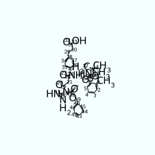 Cc1ccccc1S(=O)(=O)NC(C)(C)C.N=C(N)N(C(=O)CC(=O)Nc1ccc(CCC(=O)O)cc1)C(=O)OCc1ccccc1